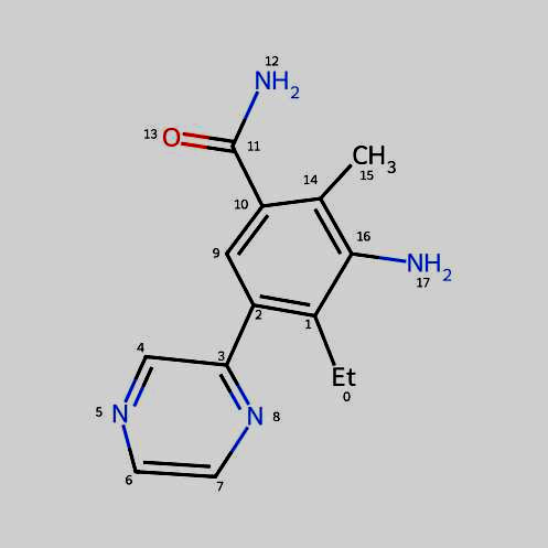 CCc1c(-c2cnccn2)cc(C(N)=O)c(C)c1N